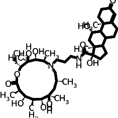 CC[C@H]1OC(=O)[C@H](C)[C@@H](O)[C@H](C)[C@@H](O)[C@](C)(O)C[C@@H](C)CN(CCCNC(=O)[C@@]2(O)CCC3C4CCC5=CC(=O)CC[C@]5(C)C4[C@@H](O)C[C@@]32C)[C@H](C)[C@@H](O)[C@]1(C)O